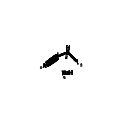 N#CBI.[NaH]